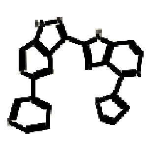 c1cncc(-c2cc3c(-c4nc5c(-c6cccs6)nccc5[nH]4)n[nH]c3cn2)c1